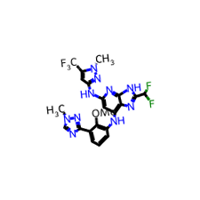 COc1c(Nc2cc(Nc3cc(C(F)(F)F)n(C)n3)nc3[nH]c(C(F)F)nc23)cccc1-c1ncn(C)n1